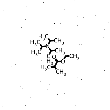 C=C(C)C(=O)OCC.CC(C)N(C(C)C)C(C)C